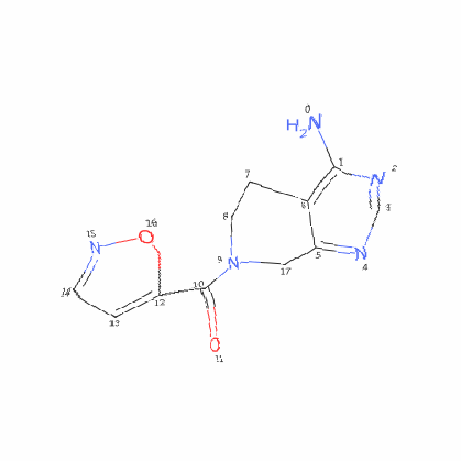 Nc1ncnc2c1CCN(C(=O)c1ccno1)C2